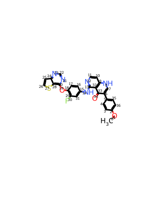 COc1ccc(-c2c[nH]c3ccnc(Nc4ccc(Oc5ncnc6ccsc56)c(F)c4)c3c2=O)cc1